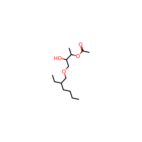 CCCCC(CC)COCC(O)C(C)OC(C)=O